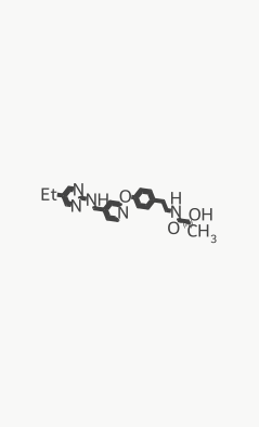 CCc1cnc(NCc2ccnc(Oc3ccc(CCNC(=O)[C@@H](C)O)cc3)c2)nc1